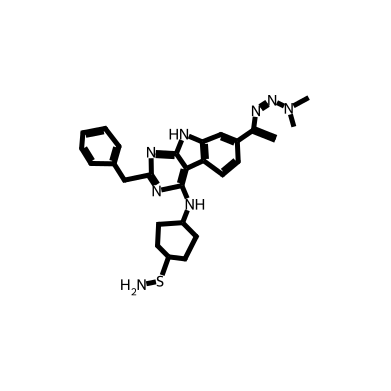 C=C(/N=N\N(C)C)c1ccc2c(c1)[nH]c1nc(Cc3ccccc3)nc(NC3CCC(SN)CC3)c12